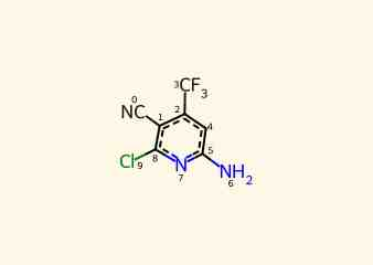 N#Cc1c(C(F)(F)F)cc(N)nc1Cl